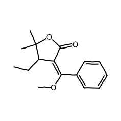 CCC1C(=C(OC)c2ccccc2)C(=O)OC1(C)C